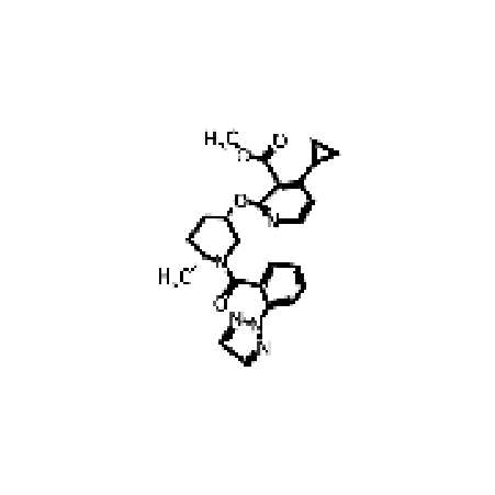 COC(=O)c1c(C2CC2)ccnc1O[C@@H]1CC[C@@H](C)N(C(=O)c2ccccc2-n2nccn2)C1